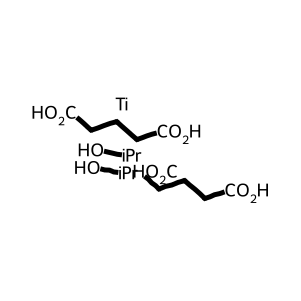 CC(C)O.CC(C)O.O=C(O)CCCC(=O)O.O=C(O)CCCC(=O)O.[Ti]